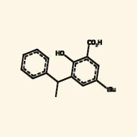 CC(c1ccccc1)c1cc(C(C)(C)C)cc(C(=O)O)c1O